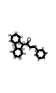 O=C(C=Cc1ccccc1)C1c2ccccc2-c2ccccc21